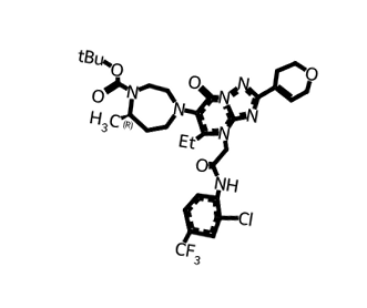 CCc1c(N2CC[C@@H](C)N(C(=O)OC(C)(C)C)CC2)c(=O)n2nc(C3=CCOCC3)nc2n1CC(=O)Nc1ccc(C(F)(F)F)cc1Cl